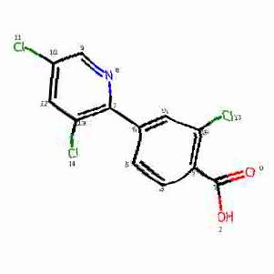 O=C(O)c1ccc(-c2ncc(Cl)cc2Cl)cc1Cl